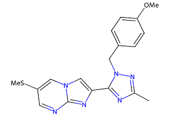 COc1ccc(Cn2nc(C)nc2-c2cn3cc(SC)cnc3n2)cc1